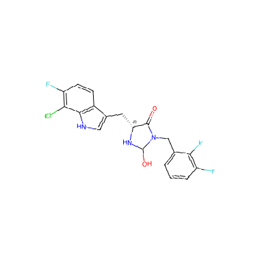 O=C1[C@@H](Cc2c[nH]c3c(Cl)c(F)ccc23)NC(O)N1Cc1cccc(F)c1F